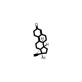 C#C[C@]1(C(C)=O)CC[C@H]2[C@@H]3CCC4=CC(=O)CCC4=C3CC[C@@]21C